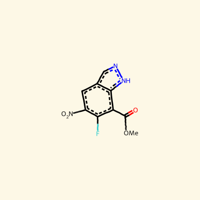 COC(=O)c1c(F)c([N+](=O)[O-])cc2cn[nH]c12